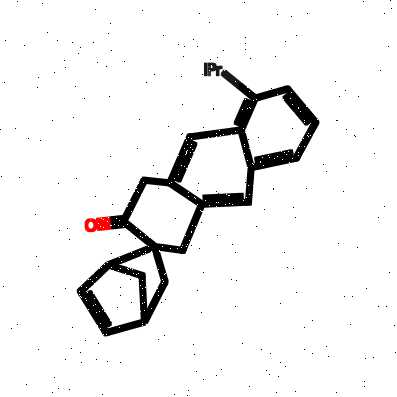 CC(C)c1cccc2cc3c(cc12)CC(=O)C1(C3)CC2C=CC1C2